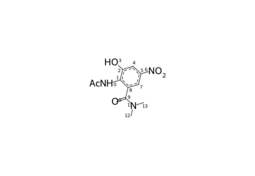 CC(=O)Nc1c(O)cc([N+](=O)[O-])cc1C(=O)N(C)C